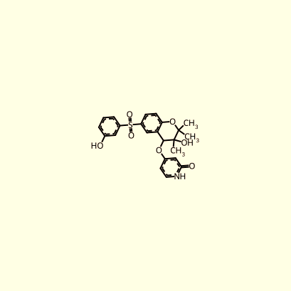 CC1(C)Oc2ccc(S(=O)(=O)c3cccc(O)c3)cc2C(Oc2cc[nH]c(=O)c2)C1(C)O